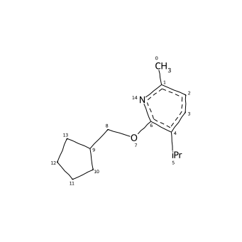 Cc1ccc(C(C)C)c(OCC2CCCC2)n1